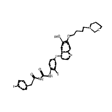 COc1cc2c(Oc3ccc(NC(=O)NC(=O)Cc4ccc(F)cc4)c(F)c3)ccnc2cc1OCCCCN1CCCCC1